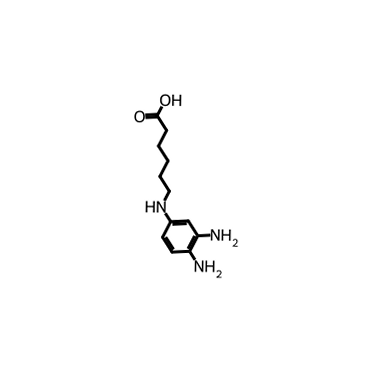 Nc1ccc(NCCCCCC(=O)O)cc1N